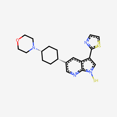 Sn1cc(-c2nccs2)c2cc([C@H]3CC[C@@H](N4CCOCC4)CC3)cnc21